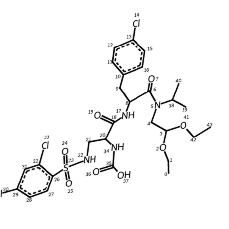 CCOC(CN(C(=O)C(Cc1ccc(Cl)cc1)NC(=O)C(CNS(=O)(=O)c1ccc(Cl)cc1Cl)NC(=O)O)C(C)C)OCC